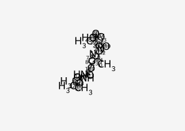 CCc1c2c(nc3ccc(OCC(=O)NNC(=O)OC(C)(C)C)cc13)-c1cc3c(c(=O)n1C2)COC(=O)[C@]3(O)CC